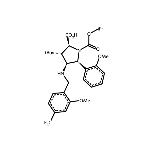 COc1cc(C(F)(F)F)ccc1CN[C@H]1[C@H](C(C)(C)C)[C@@H](C(=O)O)N(C(=O)OC(C)C)[C@H]1c1ccccc1OC